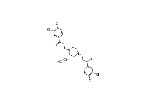 Cl.Cl.O=C(CCN1CCN(CCC(=O)c2ccc(Cl)c(Cl)c2)CC1)c1ccc(Cl)c(Cl)c1